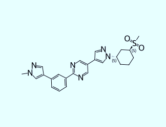 Cn1cc(-c2cccc(-c3ncc(-c4cnn([C@H]5CCC[C@H](S(C)(=O)=O)C5)c4)cn3)c2)cn1